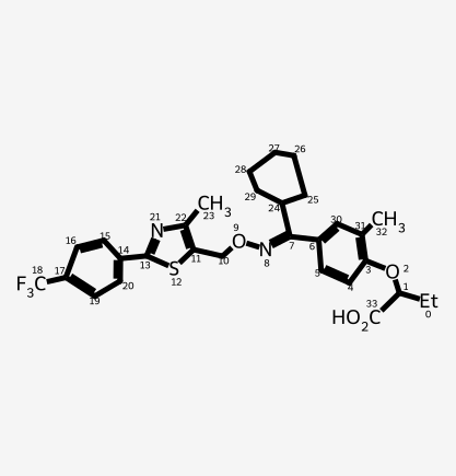 CCC(Oc1ccc(C(=NOCc2sc(-c3ccc(C(F)(F)F)cc3)nc2C)C2CCCCC2)cc1C)C(=O)O